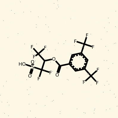 O=C(OC(C(F)(F)F)C(F)(F)S(=O)(=O)O)c1cc(C(F)(F)F)cc(C(F)(F)F)c1